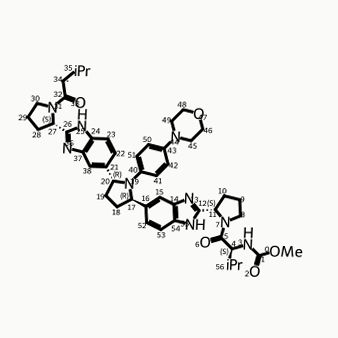 COC(=O)N[C@H](C(=O)N1CCC[C@H]1c1nc2cc([C@H]3CC[C@H](c4ccc5[nH]c([C@@H]6CCCN6C(=O)[CH]C(C)C)nc5c4)N3c3ccc(N4CCOCC4)cc3)ccc2[nH]1)C(C)C